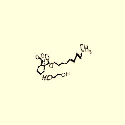 CCCCCCCCCOC(=O)C1CCCCC1C(=O)O.OCCO